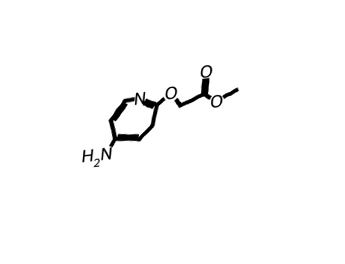 COC(=O)COC1=NC=CC(N)=CC1